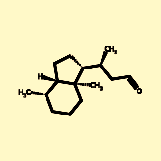 C[C@@H](CC=O)[C@H]1CC[C@H]2[C@@H](C)CCC[C@]12C